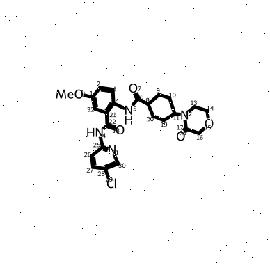 COc1ccc(NC(=O)C2CCC(N3CCOCC3=O)CC2)c(C(=O)Nc2ccc(Cl)cn2)c1